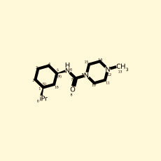 CC(C)[C@H]1CCC[C@@H](NC(=O)N2CCN(C)CC2)C1